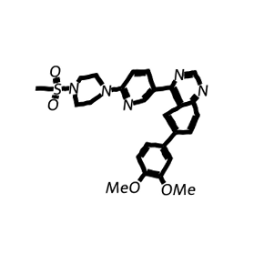 COc1ccc(-c2ccc3ncnc(-c4ccc(N5CCN(S(C)(=O)=O)CC5)nc4)c3c2)cc1OC